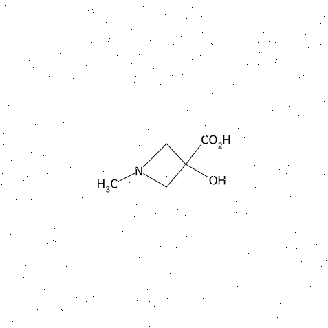 CN1CC(O)(C(=O)O)C1